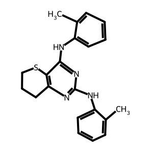 Cc1ccccc1Nc1nc2c(c(Nc3ccccc3C)n1)SCCC2